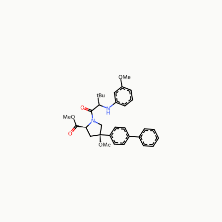 COC(=O)[C@@H]1C[C@@](OC)(c2ccc(-c3ccccc3)cc2)CN1C(=O)C(Nc1cccc(OC)c1)C(C)(C)C